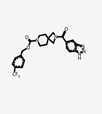 O=C(OCc1ccc(C(F)(F)F)cc1)N1CCC2(CC1)CN(C(=O)c1ccc3[nH]nnc3c1)C2